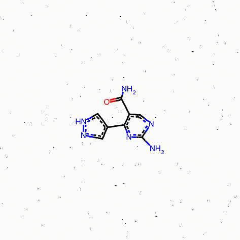 NC(=O)c1cnc(N)nc1-c1cn[nH]c1